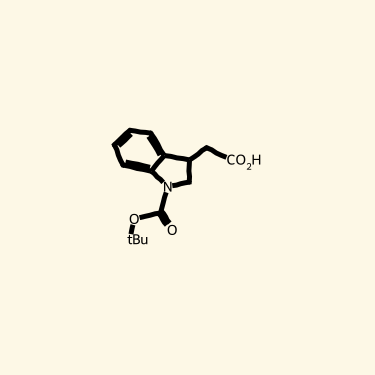 CC(C)(C)OC(=O)N1CC(CC(=O)O)c2ccccc21